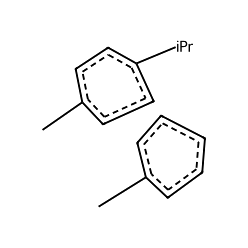 Cc1ccc(C(C)C)cc1.Cc1ccccc1